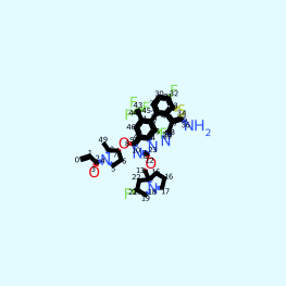 C=CC(=O)N1CCC(Oc2nc(OCC34CCCN3CC(F)C4)nc3c(F)c(-c4ccc(F)c5sc(N)c(C#N)c45)c(C(F)(F)F)cc23)C1C